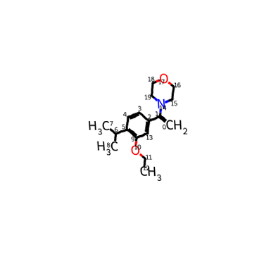 C=C(c1ccc(C(C)C)c(OCC)c1)N1CCOCC1